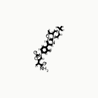 CC(=O)C1CN(C(C)(C)C)CCN1c1ncc(-c2ccc(N3CC(C(C)C(N)=O)OC3=O)cc2F)cn1